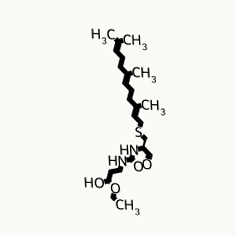 CCOC(O)CCNC(=O)N[C@H](C=O)CSC/C=C(\C)CC/C=C(\C)CCC=C(C)C